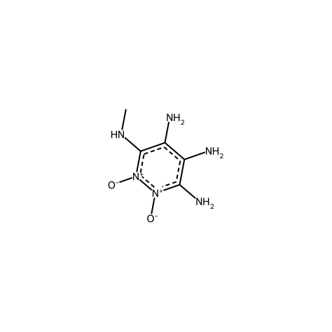 CNc1c(N)c(N)c(N)[n+]([O-])[n+]1[O-]